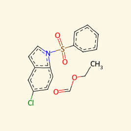 CCOC=O.O=S(=O)(c1ccccc1)n1ccc2cc(Cl)ccc21